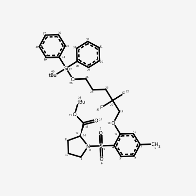 Cc1ccc(S(=O)(=O)N2CCC[C@H]2C(=O)OC(C)(C)C)c(OCC(F)(F)CCCO[Si](c2ccccc2)(c2ccccc2)C(C)(C)C)c1